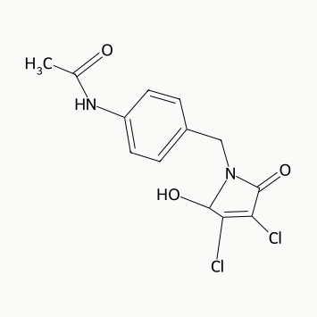 CC(=O)Nc1ccc(CN2C(=O)C(Cl)=C(Cl)C2O)cc1